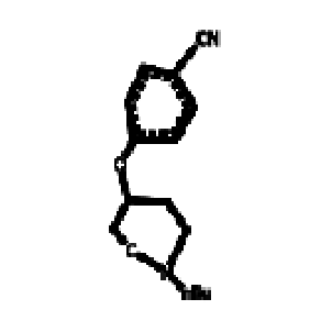 CCCCN1CCC(Oc2ccc(C#N)cc2)CC1